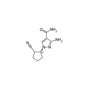 N#CC1CCC[C@@H]1n1cc(C(N)=O)c(N)n1